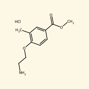 COC(=O)c1ccc(OCCN)c(C)c1.Cl